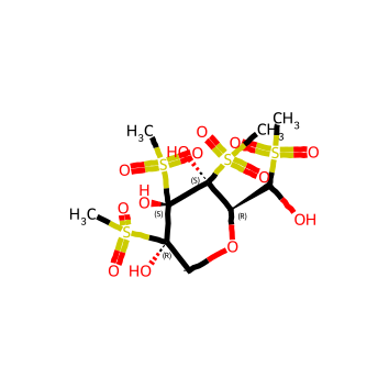 CS(=O)(=O)C(O)[C@H]1O[CH][C@@](O)(S(C)(=O)=O)[C@](O)(S(C)(=O)=O)[C@@]1(O)S(C)(=O)=O